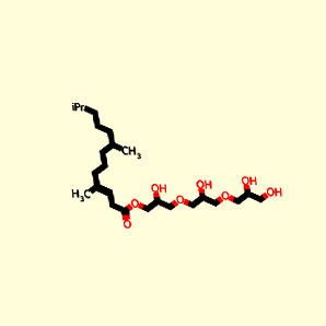 CC(=CCC(=O)OCC(O)COCC(O)COCC(O)CO)CCCC(C)CCCC(C)C